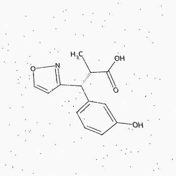 CC(C(=O)O)[C@H](c1cccc(O)c1)c1ccon1